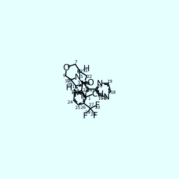 Cc1c(C(=O)N2[C@H]3COC[C@@H]2c2nnc(-c4cnccn4)n2C3)cccc1C(F)(F)F